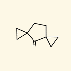 C1CC12CCC1(CC1)N2